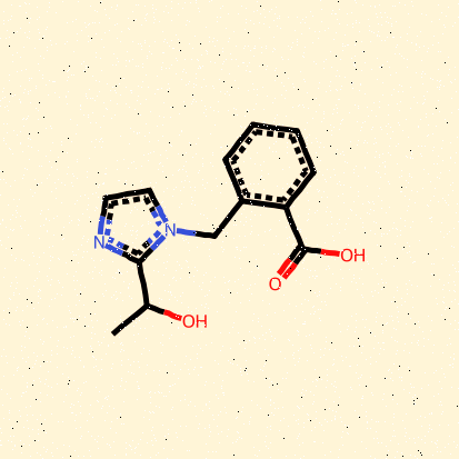 CC(O)c1nccn1Cc1ccccc1C(=O)O